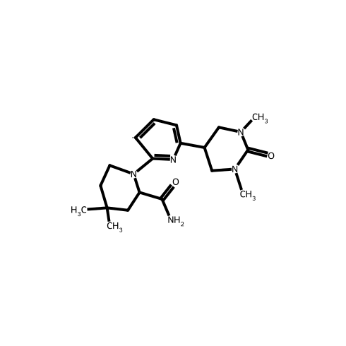 CN1CC(c2cc[c]c(N3CCC(C)(C)CC3C(N)=O)n2)CN(C)C1=O